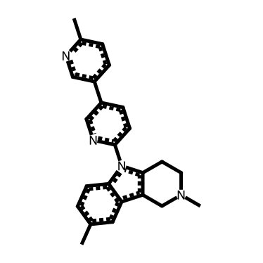 Cc1ccc2c(c1)c1c(n2-c2ccc(-c3ccc(C)nc3)cn2)CCN(C)C1